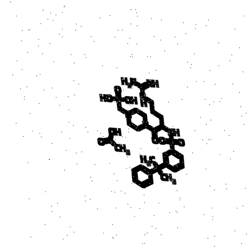 CC(=O)O.CC(C)(c1ccccc1)c1cccc(S(=O)(=O)NC(CCCNC(=N)N)C(=O)N2CCN(CP(=O)(O)O)CC2)c1